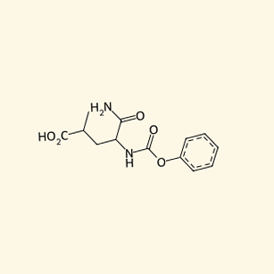 CC(CC(NC(=O)Oc1ccccc1)C(N)=O)C(=O)O